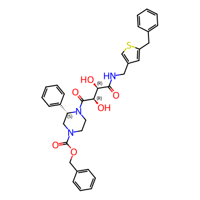 O=C(NCc1csc(Cc2ccccc2)c1)[C@H](O)[C@@H](O)C(=O)N1CCN(C(=O)OCc2ccccc2)C[C@@H]1c1ccccc1